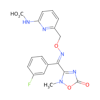 Cn1oc(=O)nc1C(=NOCc1cccc(NC(=O)O)n1)c1cccc(F)c1